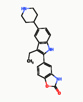 CCc1c(-c2ccc3oc(=O)[nH]c3c2)[nH]c2ccc(C3CCNCC3)cc12